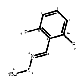 CC(C)(C)SN=Cc1c(F)cccc1F